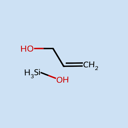 C=CCO.O[SiH3]